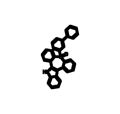 O=P1(c2cccc(-c3ccccc3)c2)c2ccccc2-c2[nH]c3ccccc3c2-c2ccccc21